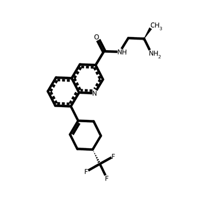 C[C@@H](N)CNC(=O)c1cnc2c(C3=CC[C@@H](C(F)(F)F)CC3)cccc2c1